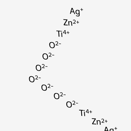 [Ag+].[Ag+].[O-2].[O-2].[O-2].[O-2].[O-2].[O-2].[O-2].[Ti+4].[Ti+4].[Zn+2].[Zn+2]